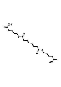 CC(O)CCCCOC(=O)CCCCCCC(=O)OCCCCC(C)O